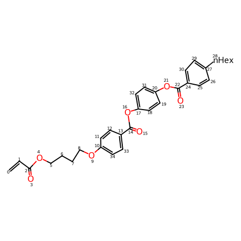 C=CC(=O)OCCCCOc1ccc(C(=O)Oc2ccc(OC(=O)c3ccc(CCCCCC)cc3)cc2)cc1